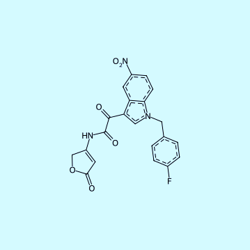 O=C1C=C(NC(=O)C(=O)c2cn(Cc3ccc(F)cc3)c3ccc([N+](=O)[O-])cc23)CO1